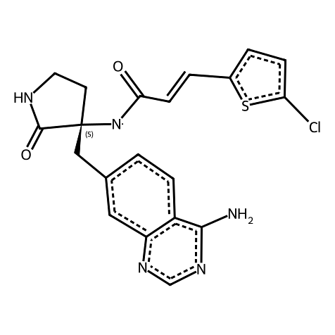 Nc1ncnc2cc(C[C@]3([N]C(=O)C=Cc4ccc(Cl)s4)CCNC3=O)ccc12